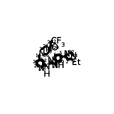 CCc1cc(-c2ccc3nc(Nc4cc(CN5CCN(C(=O)CC(F)(F)F)CC5)ccn4)[nH]c3c2)ncn1